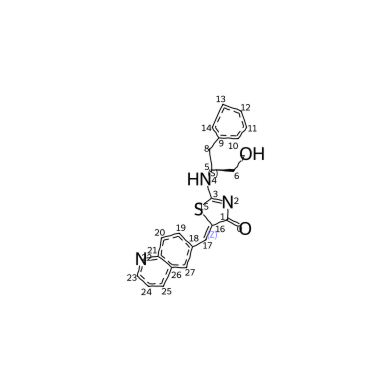 O=C1N=C(N[C@H](CO)Cc2ccccc2)S/C1=C\c1ccc2ncccc2c1